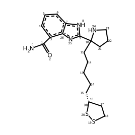 NC(=O)c1cccc2[nH]c(C3(CCCCC[C@@H]4CCSS4)CCCN3)nc12